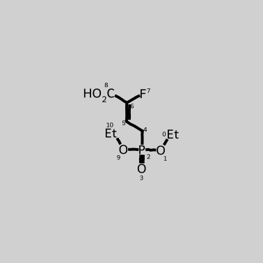 CCOP(=O)(CC=C(F)C(=O)O)OCC